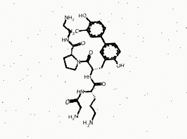 Cc1cc(-c2ccc(O)c(C[C@H](NC(=O)[C@H](CCCN)NC(=O)CN)C(=O)N3CCC[C@H]3C(=O)NCCN)c2)ccc1O